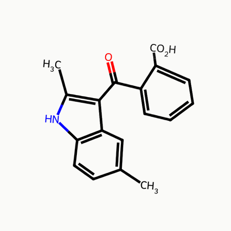 Cc1ccc2[nH]c(C)c(C(=O)c3ccccc3C(=O)O)c2c1